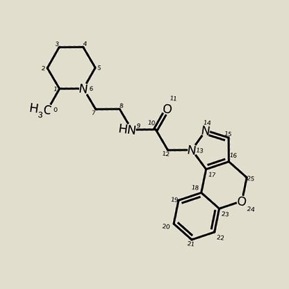 CC1CCCCN1CCNC(=O)Cn1ncc2c1-c1ccccc1OC2